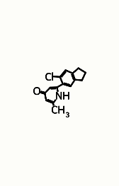 Cc1cc(=O)cc(-c2cc3c(cc2Cl)CCC3)[nH]1